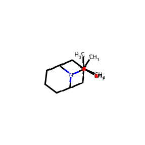 CC(C)N1C2CCCC1CC(C)(C)C2